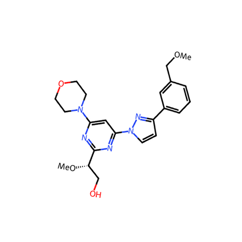 COCc1cccc(-c2ccn(-c3cc(N4CCOCC4)nc([C@H](CO)OC)n3)n2)c1